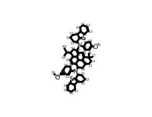 COC1=CC=C(N(C2=C3C=C4C5=C(CCC4(C)C)CC(N(C4=CC6=C(OC)C6CC4)C4CCCC6=C4SC4C=CCCC64)C4C=CC(C(C(C)C)C2)C3C54)C2CCCC3C4CCC=CC4SC32)CC1